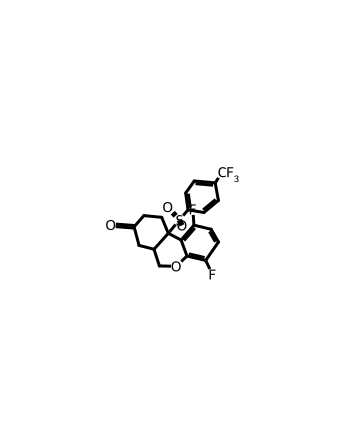 O=C1CCC2(S(=O)(=O)c3ccc(C(F)(F)F)cc3)c3c(F)ccc(F)c3OCC2C1